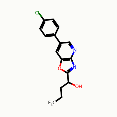 OC(CCC(F)(F)F)c1nc2ncc(-c3ccc(Cl)cc3)cc2o1